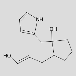 OC=CCC1CCCC1(O)Cc1ccc[nH]1